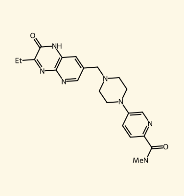 CCc1nc2ncc(CN3CCN(c4ccc(C(=O)NC)nc4)CC3)cc2[nH]c1=O